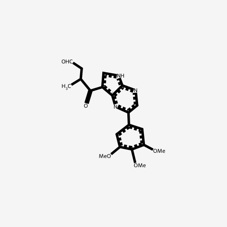 COc1cc(-c2cnc3[nH]cc(C(=O)C(C)CC=O)c3n2)cc(OC)c1OC